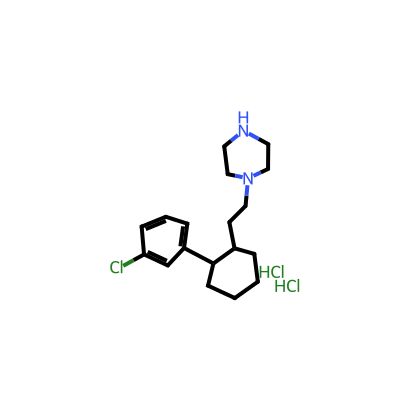 Cl.Cl.Clc1cccc(C2CCCCC2CCN2CCNCC2)c1